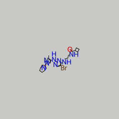 Cc1nn(C2CC3CCC(C2)N3C)cc1Nc1ncc(Br)c(NCCCNC(=O)C2CCC2)n1